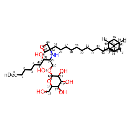 CCCCCCCCCCCCCC[C@@H](O)[C@@H](O)[C@H](COC1OC(CO)C(O)C(O)C1O)NC1(CCCCCCCCCCC2=CC[C@H]3C[C@@H]2C3(C)C)COC1